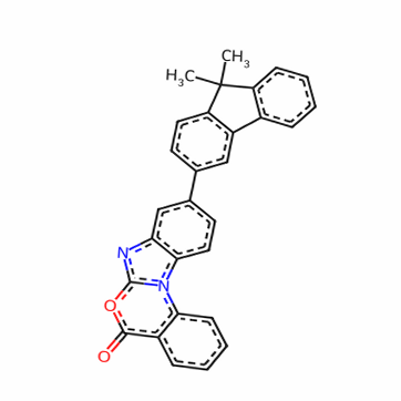 CC1(C)c2ccccc2-c2cc(-c3ccc4c(c3)nc3oc(=O)c5ccccc5n34)ccc21